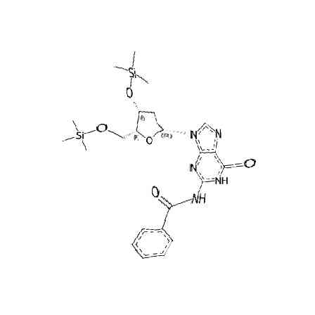 C[Si](C)(C)OC[C@H]1O[C@@H](n2cnc3c(=O)[nH]c(NC(=O)c4ccccc4)nc32)C[C@H]1O[Si](C)(C)C